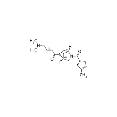 Cc1ccc(C(=O)N2C[C@H]3C[C@@H]2CN3C(=O)/C=C/CN(C)C)s1